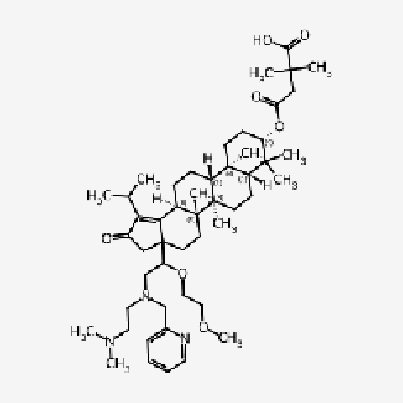 COCCOC(CN(CCN(C)C)Cc1ccccn1)C12CC[C@]3(C)[C@H](CC[C@@H]4[C@@]5(C)CC[C@H](OC(=O)CC(C)(C)C(=O)O)C(C)(C)[C@@H]5CC[C@]43C)C1=C(C(C)C)C(=O)C2